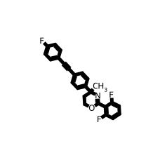 CC1(c2ccc(C#Cc3ccc(F)cc3)cc2)CCOC(c2c(F)cccc2F)=N1